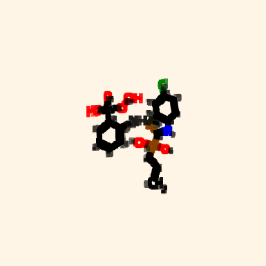 C=CCS(=O)(=O)c1nc2ccc(Cl)cc2s1.CC(=O)Nc1ccccc1[As](=O)(O)OO